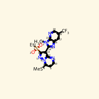 CCS(=O)(=O)c1nn2c(SC)ccnc2c1-c1nc2cc(C(F)(F)F)cnc2n1C